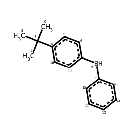 CC(C)(C)c1ccc(Bc2ccccc2)cc1